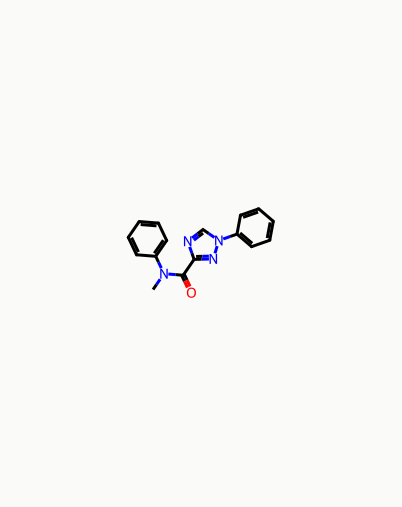 CN(C(=O)c1ncn(-c2ccccc2)n1)c1ccccc1